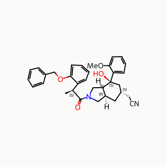 COc1ccccc1[C@]1(O)C[C@H](CC#N)C[C@H]2CN(C(=O)[C@@H](C)c3ccccc3OCc3ccccc3)C[C@H]21